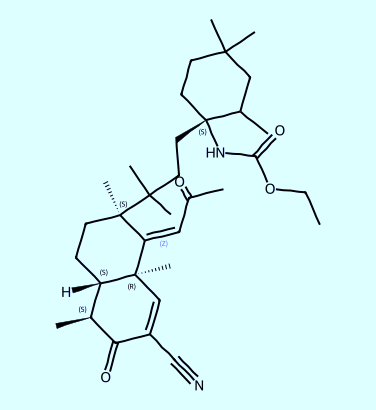 CCOC(=O)N[C@]1(CCC(C)(C)[C@]2(C)CC[C@H]3[C@H](C)C(=O)C(C#N)=C[C@]3(C)/C2=C/C(C)=O)CCC(C)(C)CC1C